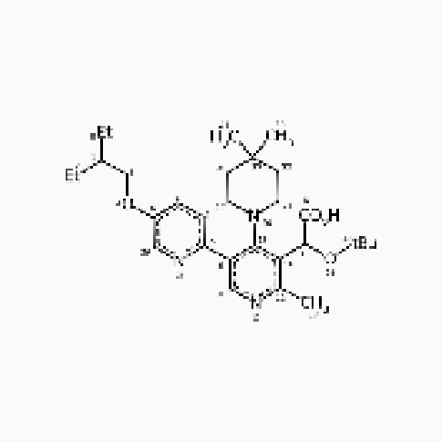 CCC(CC)COc1ccc(-c2cnc(C)c(C(OC(C)(C)C)C(=O)O)c2N2CCC(C)(C)CC2)nc1